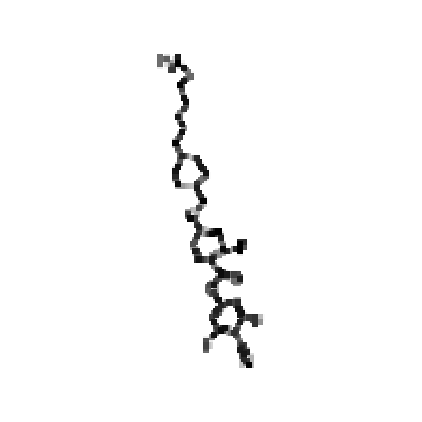 CCCCCCCC1CCC(COc2ccc(C(=O)Oc3cc(F)c(C#N)c(F)c3)c(F)c2)CC1